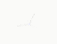 CCCCCCCCCCCC[N+](CCC)(CCCCCCCCCCCC)CCCCCCCCCCCC